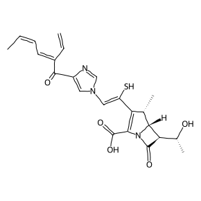 C=C/C(=C\C=C/C)C(=O)c1cn(/C=C(\S)C2=C(C(=O)O)N3C(=O)[C@H]([C@@H](C)O)[C@H]3[C@H]2C)cn1